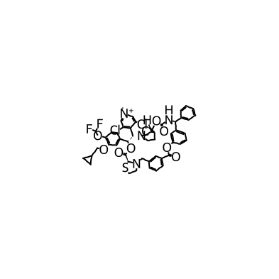 C[n+]1cc(Cl)c(C[C@H](OC(=O)[C@@H]2SCCN2Cc2cccc(C(=O)Oc3cccc([C@@H](NC(=O)O[C@H]4CN5CCC4CC5)c4ccccc4)c3)c2)c2ccc(OC(F)F)c(OCC3CC3)c2)c(Cl)c1